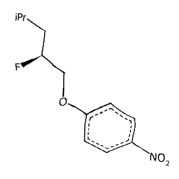 CC(C)C[C@H](F)COc1ccc([N+](=O)[O-])cc1